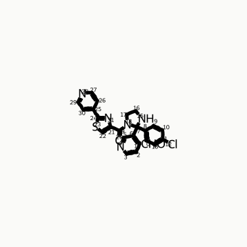 O=Cc1ccncc1C1(c2ccc(Cl)cc2)NCCN1C(=O)c1csc(-c2ccncc2)n1